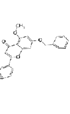 COc1cc(OCc2ccccc2)cc2oc(-c3cc#ccc3)cc(=O)c12